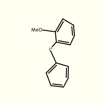 COc1ccccc1[I+]c1ccccc1